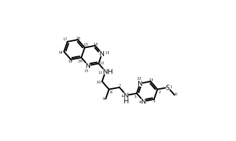 CSc1cnc(NCC(C)CNc2ncc3ccccc3n2)nc1